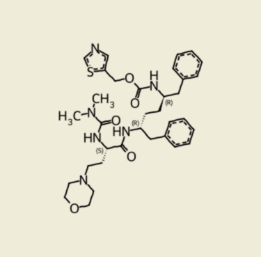 CN(C)C(=O)N[C@@H](CCN1CCOCC1)C(=O)N[C@H](CC[C@H](Cc1ccccc1)NC(=O)OCc1cncs1)Cc1ccccc1